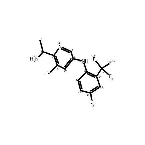 CC(N)c1ncc(Nc2ccc(Cl)cc2C(F)(F)F)cc1F